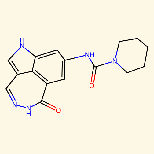 O=C1NN=Cc2c[nH]c3cc(NC(=O)N4CCCCC4)cc1c23